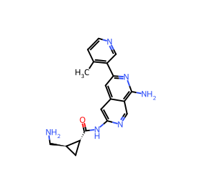 Cc1ccncc1-c1cc2cc(NC(=O)[C@@H]3C[C@H]3CN)ncc2c(N)n1